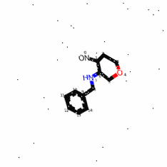 O=NC1CCOCC1NCc1ccccc1